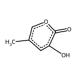 Cc1coc(=O)c(O)c1